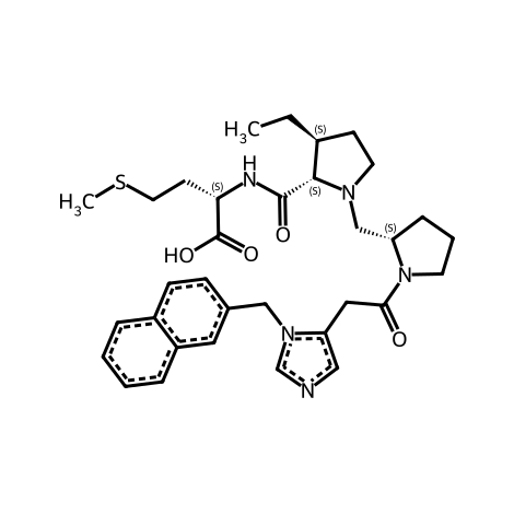 CC[C@H]1CCN(C[C@@H]2CCCN2C(=O)Cc2cncn2Cc2ccc3ccccc3c2)[C@@H]1C(=O)N[C@@H](CCSC)C(=O)O